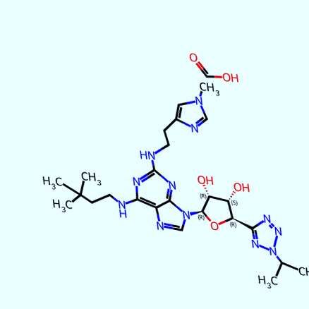 CC(C)n1nnc([C@H]2O[C@@H](n3cnc4c(NCCC(C)(C)C)nc(NCCc5cn(C)cn5)nc43)[C@H](O)[C@@H]2O)n1.O=CO